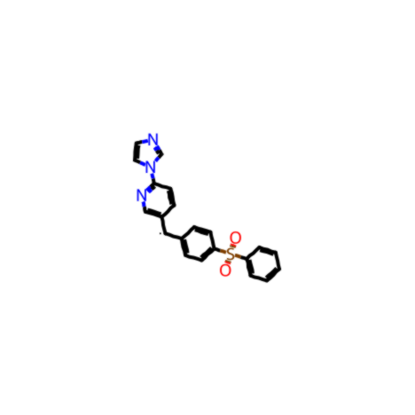 O=S(=O)(c1ccccc1)c1ccc([CH]c2ccc(-n3ccnc3)nc2)cc1